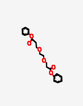 O=C(CCOCCOCCC(=O)Oc1ccccc1)Oc1ccccc1